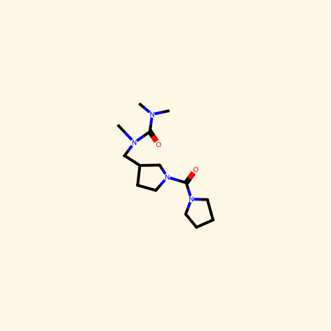 CN(C)C(=O)N(C)CC1CCN(C(=O)N2CCCC2)C1